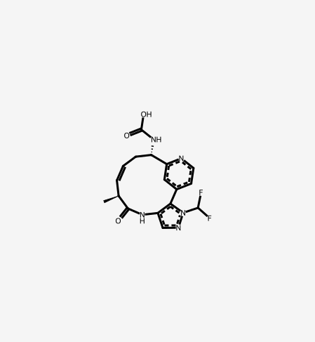 C[C@H]1C=CC[C@H](NC(=O)O)c2cc(ccn2)-c2c(cnn2C(F)F)NC1=O